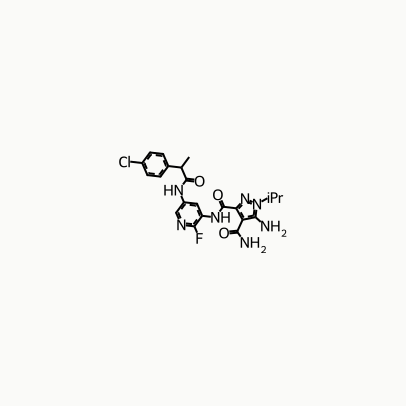 CC(C(=O)Nc1cnc(F)c(NC(=O)c2nn(C(C)C)c(N)c2C(N)=O)c1)c1ccc(Cl)cc1